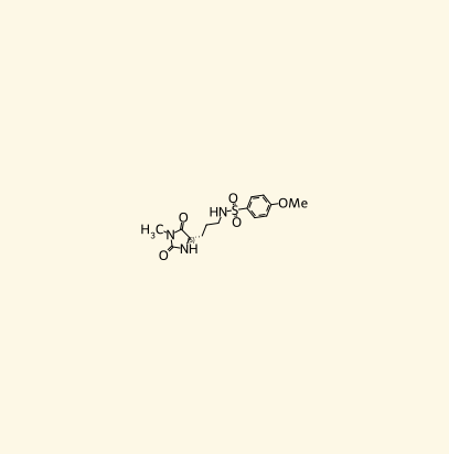 COc1ccc(S(=O)(=O)NCCC[C@@H]2NC(=O)N(C)C2=O)cc1